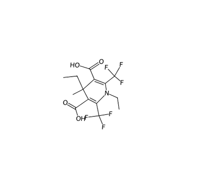 CCN1C(C(F)(F)F)=C(C(=O)O)C(C)(CC)C(C(=O)O)=C1C(F)(F)F